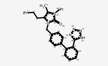 Cc1c(CCC(C)C)n(Cc2ccc(-c3ccccc3-c3nnn[nH]3)cc2)c(=O)n1C(C)C